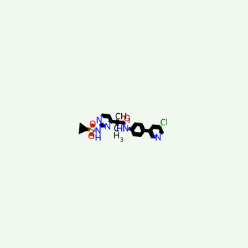 CC(C)(C(=O)Nc1ccc(-c2cncc(Cl)c2)cc1)c1ccnc(NS(=O)(=O)C2CC2)n1